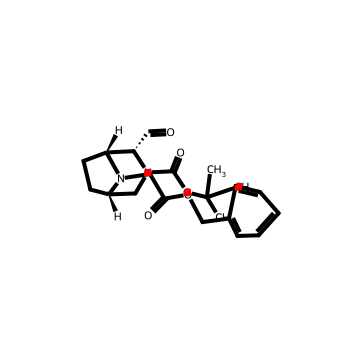 CC(C)(C)OC(=O)N1C[C@@H]2CC[C@H]([C@@H]1C=O)N2CC(=O)OCc1ccccc1